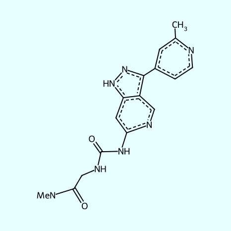 CNC(=O)CNC(=O)Nc1cc2[nH]nc(-c3ccnc(C)c3)c2cn1